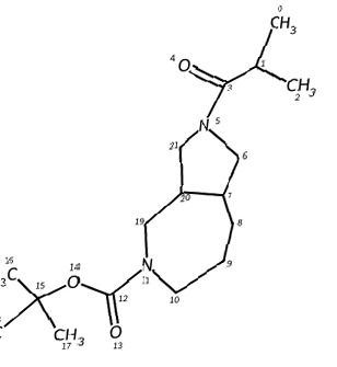 CC(C)C(=O)N1CC2CCCN(C(=O)OC(C)(C)C)CC2C1